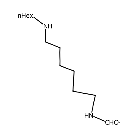 CCCCCCNCCCCCCN[C]=O